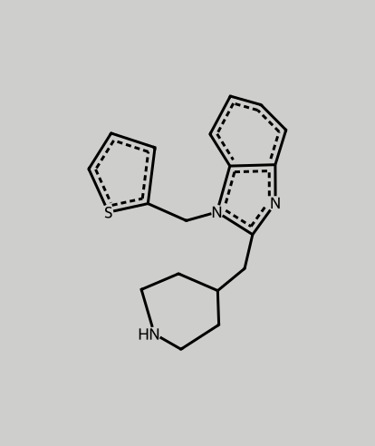 c1csc(Cn2c(CC3CCNCC3)nc3ccccc32)c1